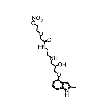 Cc1cc2c(OCC(O)CNCCNC(=O)COCCO[N+](=O)[O-])cccc2[nH]1